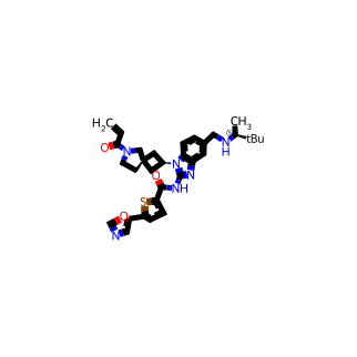 C=CC(=O)N1CC[C@]2(C1)C[C@@H](n1c(NC(=O)c3ccc(-c4cnco4)s3)nc3cc(CN[C@@H](C)C(C)(C)C)ccc31)C2